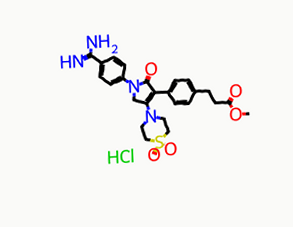 COC(=O)CCc1ccc(C2=C(N3CCS(=O)(=O)CC3)CN(c3ccc(C(=N)N)cc3)C2=O)cc1.Cl